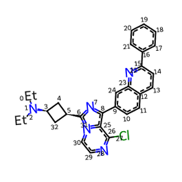 CCN(CC)[C@H]1C[C@@H](c2nc(-c3ccc4ccc(-c5ccccc5)nc4c3)c3c(Cl)nccn32)C1